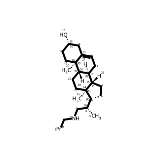 CC(C)CNC[C@@H](C)[C@H]1CC[C@H]2[C@@H]3CC=C4C[C@@H](O)CC[C@]4(C)[C@H]3CC[C@]12C